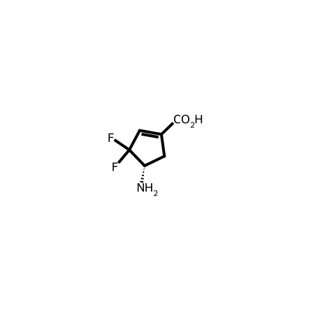 N[C@H]1CC(C(=O)O)=CC1(F)F